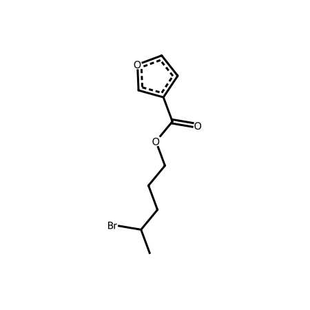 CC(Br)CCCOC(=O)c1ccoc1